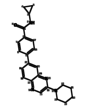 O=C(NC1CC1)c1ccc(-c2ccc3ncc(N4CCCCC4)nc3c2)cc1